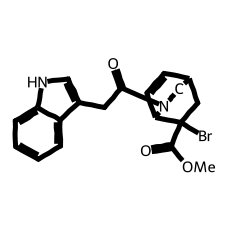 COC(=O)C1(Br)CC2C=CC1N(C(=O)Cc1c[nH]c3ccccc13)C2